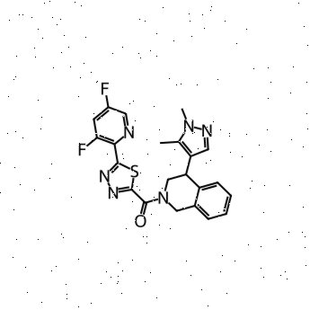 Cc1c(C2CN(C(=O)c3nnc(-c4ncc(F)cc4F)s3)Cc3ccccc32)cnn1C